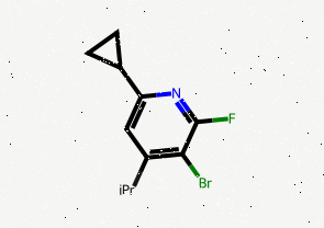 CC(C)c1cc(C2CC2)nc(F)c1Br